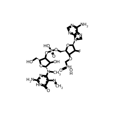 C=Nc1c(N(C)[C@@H]2O[C@H](CO)C(OP(=O)(O)OC[C@H]3O[C@@H](n4cnc5c(N)ncnc54)C(F)C3OC[PH](=O)O)C2O)nc(N)[nH]c1=O